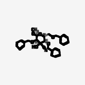 CO[C@H]1O[C@H](COCc2ccccc2)[C@H](OCc2ccccc2)[C@](O)(C#N)[C@H]1OCc1ccccc1